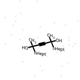 CCCCCCCC(C)(O)C#CC(C)(O)CCCCCCC